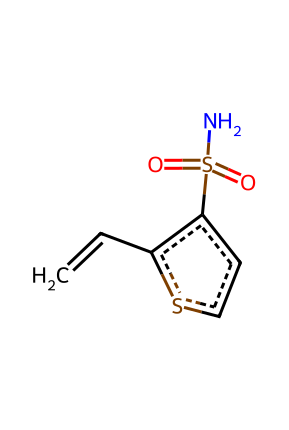 C=Cc1sccc1S(N)(=O)=O